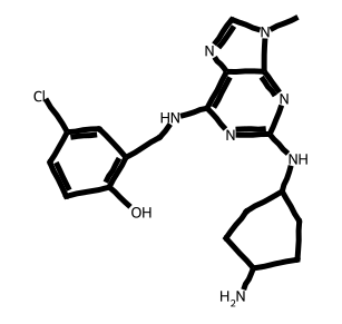 Cn1cnc2c(NCc3cc(Cl)ccc3O)nc(NC3CCC(N)CC3)nc21